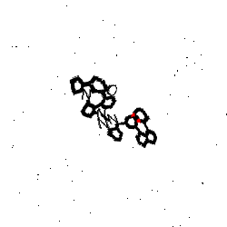 c1ccc(-c2cccc3cccc(-c4cccc(-c5nc(-n6c7ccc8oc9ccc%10c%11ccccc%11n%11c%12cccc6c%12c7c8c9c%10%11)nc6ccccc56)c4)c23)cc1